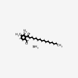 CCCCCCCCCCCCCCCC(=O)c1c(CCl)ccc(C)c1C.N